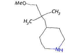 COCC(C)(C)C1CCNCC1